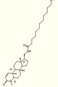 CN1C(=O)C=C[C@]2(C)[C@H]3CC[C@]4(C)[C@@H](CNC(=O)CCCCCCCCCCCO)CC[C@H]4[C@@H]3CC[C@@H]12